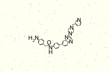 Nc1ccc(CC(=O)Nc2ccc(-c3ccc4ncc(N5CCN(Cc6cccnc6)CC5)nc4c3)cc2)cc1